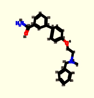 CN(CCOc1ccc(-c2cccc(C(N)=O)c2)cc1)Cc1ccccc1